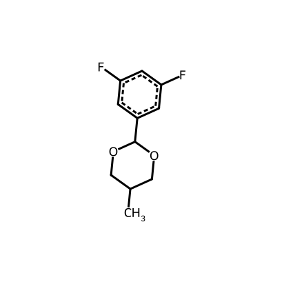 CC1COC(c2cc(F)cc(F)c2)OC1